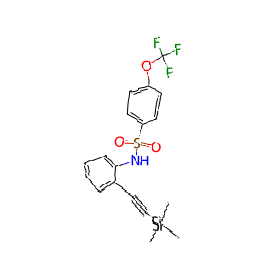 C[Si](C)(C)C#Cc1ccccc1NS(=O)(=O)c1ccc(OC(F)(F)F)cc1